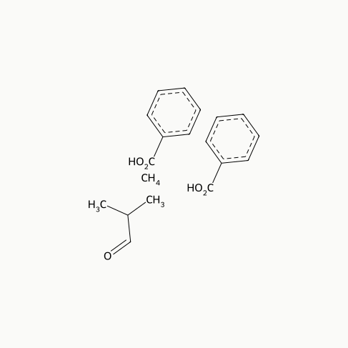 C.CC(C)C=O.O=C(O)c1ccccc1.O=C(O)c1ccccc1